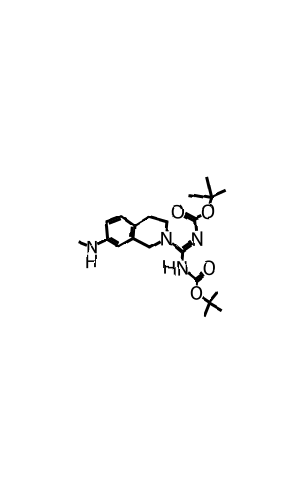 CNc1ccc2c(c1)CN(/C(=N\C(=O)OC(C)(C)C)NC(=O)OC(C)(C)C)CC2